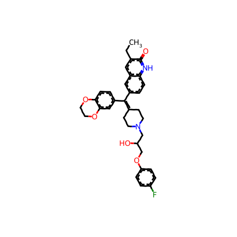 CCc1cc2cc(C(=C3CCN(CC(O)COc4ccc(F)cc4)CC3)c3ccc4c(c3)OCCO4)ccc2[nH]c1=O